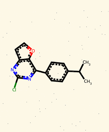 CC(C)c1ccc(-c2nc(Cl)nc3ccoc23)cc1